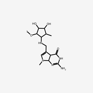 CC1C(O)C(O)C(OI)C1NCC1=CN(C)C2N=C(N)NC(=O)C12